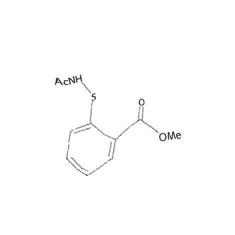 COC(=O)c1ccccc1SNC(C)=O